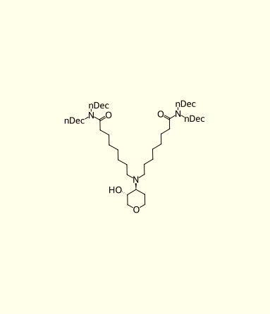 CCCCCCCCCCN(CCCCCCCCCC)C(=O)CCCCCCCN(CCCCCCCC(=O)N(CCCCCCCCCC)CCCCCCCCCC)[C@H]1CCOC[C@@H]1O